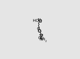 NS(=O)(=O)c1ccc(-c2ccc(OCCCCc3cccnc3O)cc2)s1